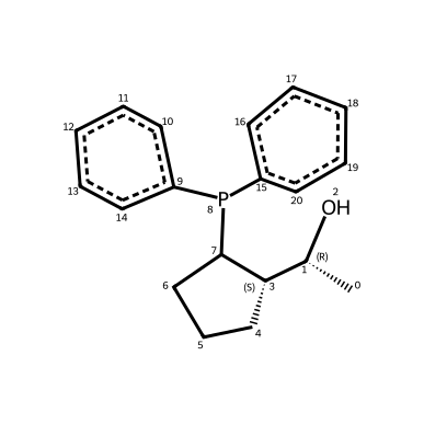 C[C@@H](O)[C@@H]1CCCC1P(c1ccccc1)c1ccccc1